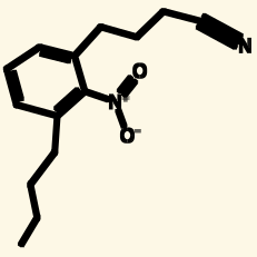 CCCCc1cccc(CCCC#N)c1[N+](=O)[O-]